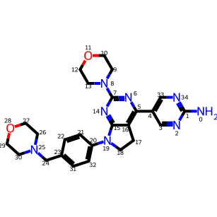 Nc1ncc(-c2nc(N3CCOCC3)nc3c2CCN3c2ccc(CN3CCOCC3)cc2)cn1